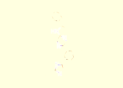 Cc1noc(-c2ccc(C)c(-c3cnc(NC(=O)c4c(F)cccc4F)cn3)c2)n1